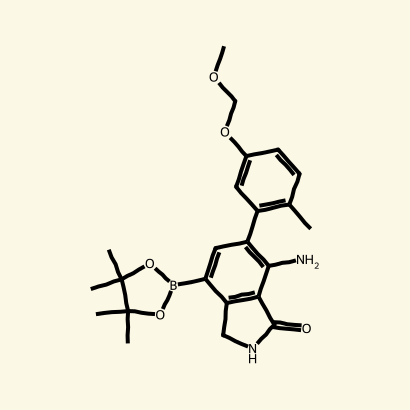 COCOc1ccc(C)c(-c2cc(B3OC(C)(C)C(C)(C)O3)c3c(c2N)C(=O)NC3)c1